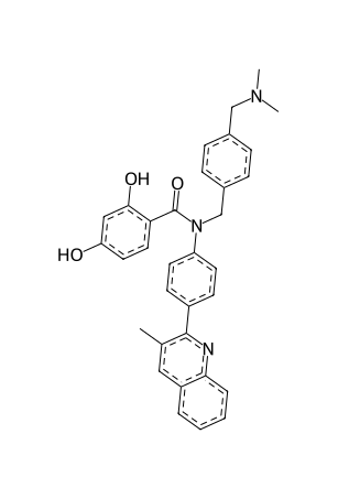 Cc1cc2ccccc2nc1-c1ccc(N(Cc2ccc(CN(C)C)cc2)C(=O)c2ccc(O)cc2O)cc1